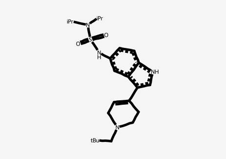 CC(C)N(C(C)C)S(=O)(=O)Nc1ccc2[nH]cc(C3=CCN(CC(C)(C)C)CC3)c2c1